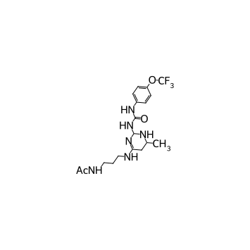 CC(=O)NCCCNC1=NC(NC(=O)Nc2ccc(OC(F)(F)F)cc2)NC(C)C1